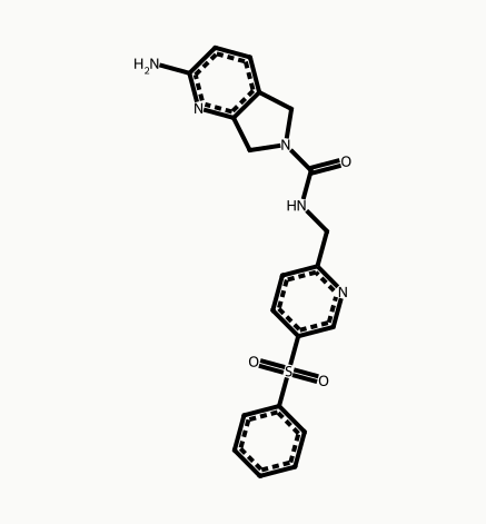 Nc1ccc2c(n1)CN(C(=O)NCc1ccc(S(=O)(=O)c3ccccc3)cn1)C2